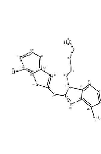 CCCCCn1c(Sc2nc3cccc(Cl)c3s2)nc2c(N)ncnc21